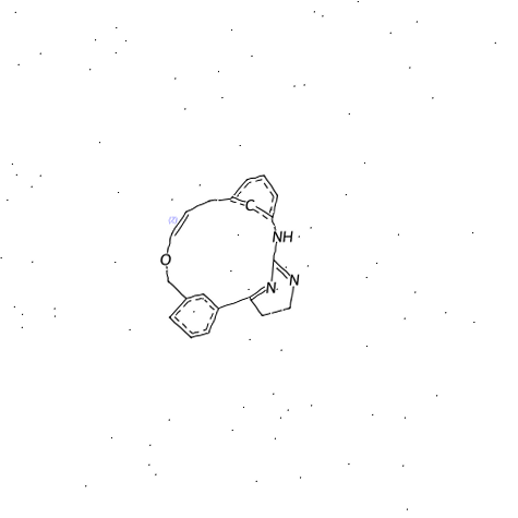 C1=C\OCc2cccc(c2)C2=NC(=NCC2)Nc2cccc(c2)C/1